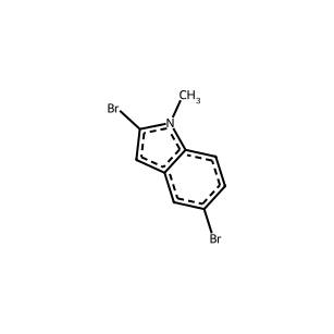 Cn1c(Br)cc2cc(Br)ccc21